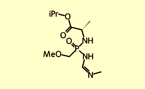 C/N=C\NP(=O)(COC)N[C@@H](C)C(=O)OC(C)C